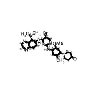 COc1cc(N2CCC(=O)CC2)c(C)cc1Nc1ncc(Br)c(Nc2ccc3nccnc3c2P(C)C)n1